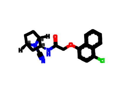 N#CN1[C@H]2CC[C@@H]1[C@H](NC(=O)COc1ccc(Cl)c3ccccc13)C2